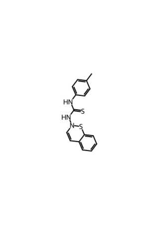 Cc1ccc(NC(=S)NN2C=Cc3ccccc3S2)cc1